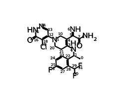 C[C@H](NC1=C(C(=N)C(N)=O)CN(c2cn[nH]c(=O)c2Cl)CC1)c1ccc(F)cc1C(F)F